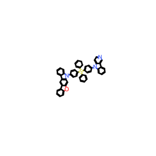 C1=CCCC(S(c2ccccc2)(c2ccc(-n3c4ccccc4c4cnccc43)cc2)c2ccc(-n3c4ccccc4c4cc5c(cc43)oc3ccccc35)cc2)=C1